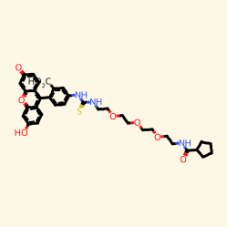 O=C(O)c1cc(NC(=S)NCCOCCOCCOCCNC(=O)C2CCCC2)ccc1-c1c2ccc(=O)cc-2oc2cc(O)ccc12